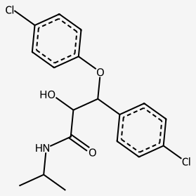 CC(C)NC(=O)C(O)C(Oc1ccc(Cl)cc1)c1ccc(Cl)cc1